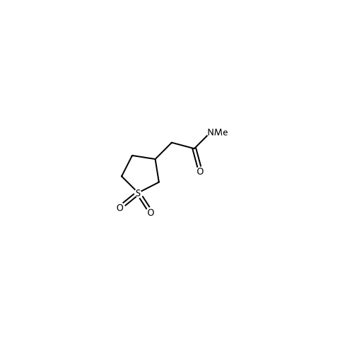 CNC(=O)CC1CCS(=O)(=O)C1